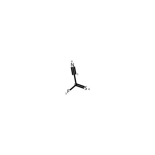 N#CC(F)=S